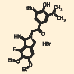 Br.CCOc1cc2c(c(F)c1OCC)C(=N)N(CC(=O)c1cc(N(C)C)c(O)c(C(C)(C)C)c1)C2